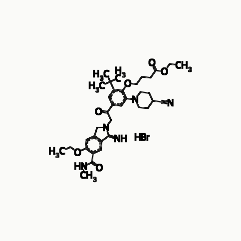 Br.CCOC(=O)CCCOc1c(N2CCC(C#N)CC2)cc(C(=O)CN2Cc3cc(OCC)c(C(=O)NC)cc3C2=N)cc1C(C)(C)C